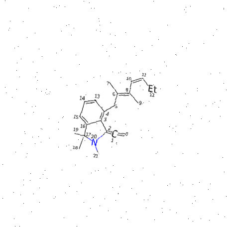 C=C=C1c2c(C/C(C)=C(C)/C=C\CC)cccc2C(C)(C)N1C